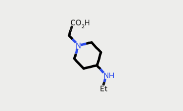 CCNC1CCN(CC(=O)O)CC1